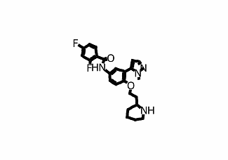 Cn1nccc1-c1cc(NC(=O)c2ccc(F)cc2F)ccc1OCCC1CCCCN1